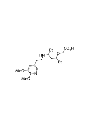 CCC(CC(CC)OCC(=O)O)NCCc1cnc(OC)c(OC)c1